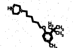 Cc1ccc(OCCCCCCN2CCNCC2)c(C(C)(C)C)c1